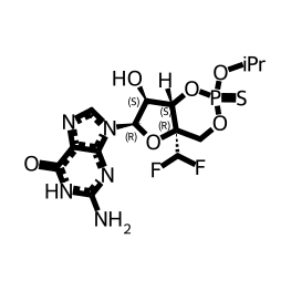 CC(C)OP1(=S)OC[C@@]2(C(F)F)O[C@@H](n3cnc4c(=O)[nH]c(N)nc43)[C@@H](O)[C@@H]2O1